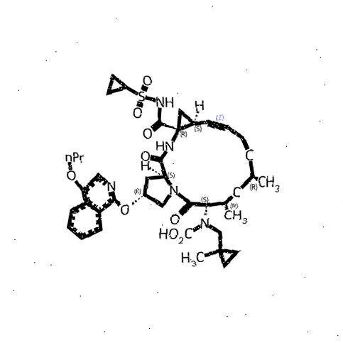 CCCOc1cnc(O[C@@H]2C[C@H]3C(=O)N[C@]4(C(=O)NS(=O)(=O)C5CC5)C[C@H]4/C=C\CC[C@@H](C)C[C@@H](C)[C@H](N(CC4(C)CC4)C(=O)O)C(=O)N3C2)c2ccccc12